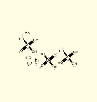 O.O.O.[Mo].[O]=[Mo](=[O])([OH])[OH].[O]=[Mo](=[O])([OH])[OH].[O]=[Mo](=[O])([OH])[OH]